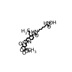 C=CCc1c(OC(=O)NCCCCCCC(=O)NO)ccc2nc3c(cc12)Cn1c-3cc2c(c1=O)COC(=O)[C@]2(O)CC